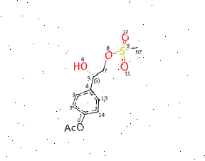 CC(=O)Oc1ccc([C@H](O)COS(C)(=O)=O)cc1